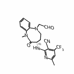 Cc1cc(C(F)(F)F)c(C#N)c(N[C@H]2CCN(CC=O)c3ccccc3N(C)C2=O)n1